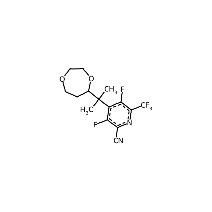 CC(C)(c1c(F)c(C#N)nc(C(F)(F)F)c1F)C1CCOCCO1